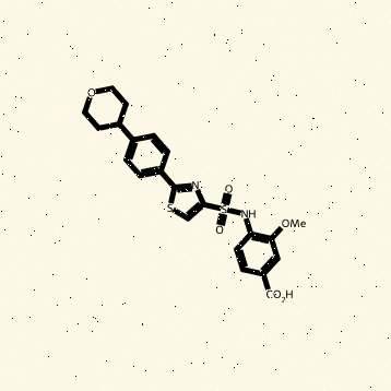 COc1cc(C(=O)O)ccc1NS(=O)(=O)c1csc(-c2ccc(C3CCOCC3)cc2)n1